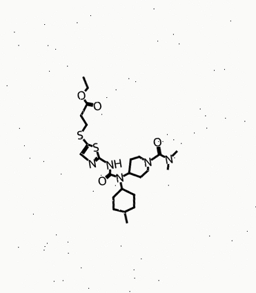 CCOC(=O)CCSc1cnc(NC(=O)N(C2CCC(C)CC2)C2CCN(C(=O)N(C)C)CC2)s1